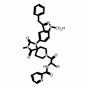 CC(C)C(NC(=O)c1ccccn1)C(=O)N1CCC2(CC1)C(=O)N(C)C(=O)N2c1ccc2c(c1)c(Cc1ccccc1)nn2C(=O)O